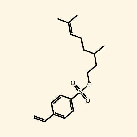 C=Cc1ccc(S(=O)(=O)OCCC(C)CCC=C(C)C)cc1